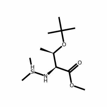 COC(=O)[C@@H](N[SiH](C)C)[C@@H](C)OC(C)(C)C